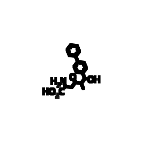 CC(C(=O)C[C@@H](N)C(=O)O)C(O)c1ccc(-c2ccccc2)cc1